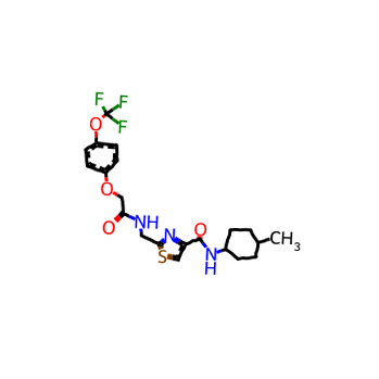 CC1CCC(NC(=O)c2csc(CNC(=O)COc3ccc(OC(F)(F)F)cc3)n2)CC1